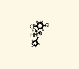 O=S(=O)(NCc1ccsc1)c1cc(Cl)ccc1Cl